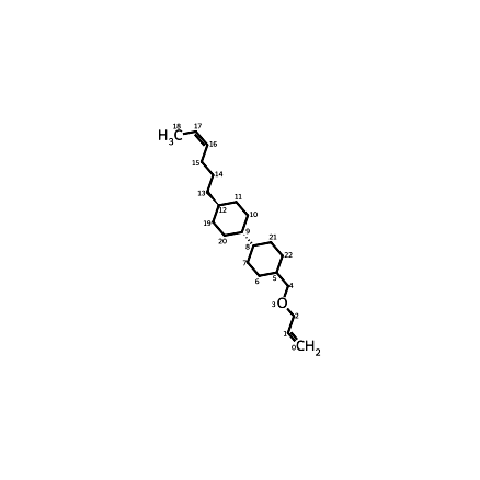 C=CCOCC1CCC([C@H]2CC[C@H](CCC/C=C\C)CC2)CC1